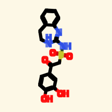 O=C(CS(=O)(=O)NC1=Nc2ccccc2CCN1)c1ccc(O)c(O)c1